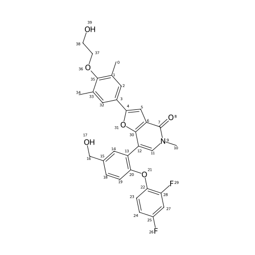 Cc1cc(-c2cc3c(=O)n(C)cc(-c4cc(CO)ccc4Oc4ccc(F)cc4F)c3o2)cc(C)c1OCCO